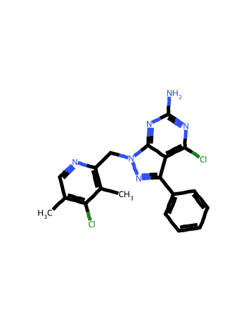 Cc1cnc(Cn2nc(-c3ccccc3)c3c(Cl)nc(N)nc32)c(C)c1Cl